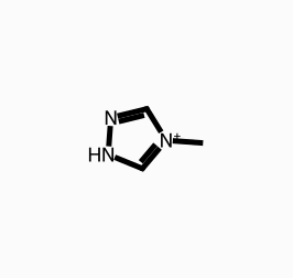 C[n+]1cn[nH]c1